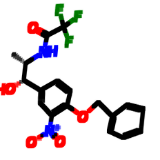 C[C@H](NC(=O)C(F)(F)F)[C@@H](O)c1ccc(OCc2ccccc2)c([N+](=O)[O-])c1